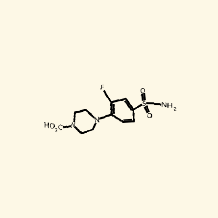 NS(=O)(=O)c1ccc(N2CCN(C(=O)O)CC2)c(F)c1